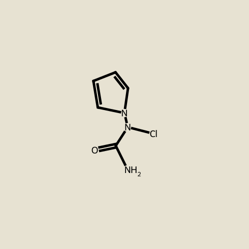 NC(=O)N(Cl)n1cccc1